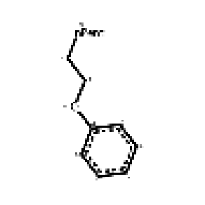 [CH2]CCCCCCOc1[c]cccc1